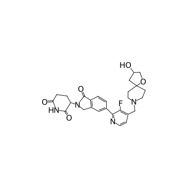 O=C1CCC(N2Cc3cc(-c4nccc(CN5CCC6(CC5)CC(O)CO6)c4F)ccc3C2=O)C(=O)N1